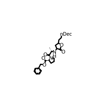 CCCCCCCCCCCCC1CC(N[C@@H](C)C(=O)N2CCC[C@H]2C(=O)OCc2ccccc2)C(=O)O1